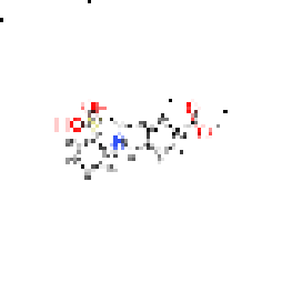 COC(=O)c1ccc(CN2CCS(O)(O)c3ccccc32)cc1